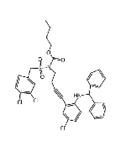 CCCCOC(=O)N(CCC#Cc1cc(Cl)ccc1NC(c1ccccc1)c1ccccc1)S(=O)(=O)Cc1ccc(Cl)c(Cl)c1